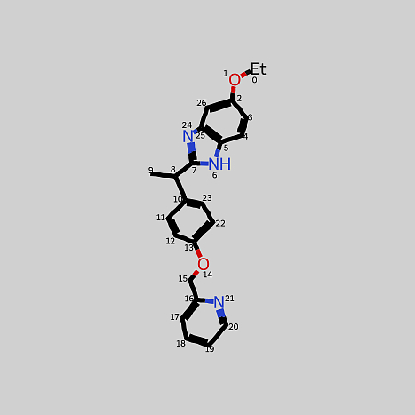 CCOc1ccc2[nH]c(C(C)c3ccc(OCc4ccccn4)cc3)nc2c1